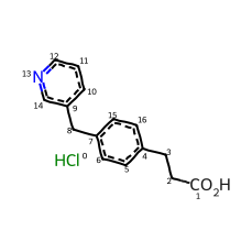 Cl.O=C(O)CCc1ccc(Cc2cccnc2)cc1